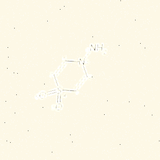 NN1C=CS(=O)(=O)C=C1